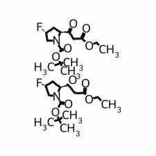 CCOC(=O)CC(=O)[C@@H]1C[C@@H](F)CN1C(=O)OC(C)(C)C.CCOC(=O)CC(=O)[C@@H]1C[C@@H](F)CN1C(=O)OC(C)(C)C